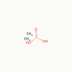 C.C.O=[PH](O)O